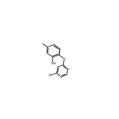 Cc1ccc(Oc2cc(Cl)ncn2)c(O)c1